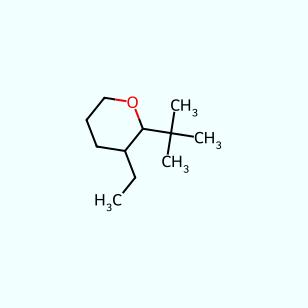 CCC1CCCOC1C(C)(C)C